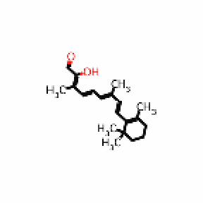 CC(C=CC1=C(C)CCCC1(C)C)=CC=CC(C)=C(O)C=O